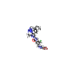 Cn1cnnc1-c1cc(C#N)ccc1-c1cc(C2CC2)nc(N2Cc3c(F)cc(CN4CC5(COC5)C4)cc3C2=O)c1